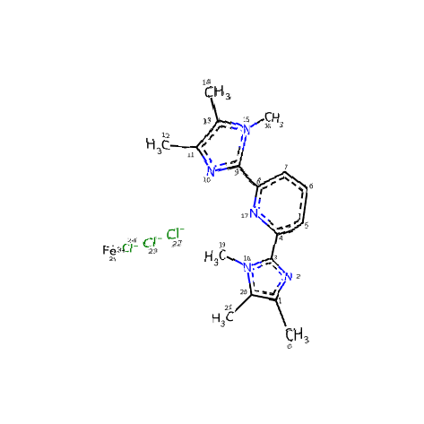 Cc1nc(-c2cccc(-c3nc(C)c(C)n3C)n2)n(C)c1C.[Cl-].[Cl-].[Cl-].[Fe+3]